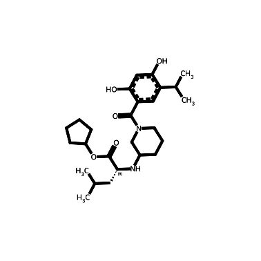 CC(C)C[C@@H](NC1CCCN(C(=O)c2cc(C(C)C)c(O)cc2O)C1)C(=O)OC1CCCC1